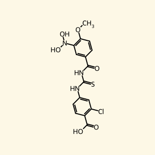 COc1ccc(C(=O)NC(=S)Nc2ccc(C(=O)O)c(Cl)c2)cc1N(O)O